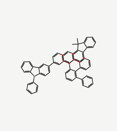 CC1(C)c2ccccc2-c2ccc(N(c3cccc(-c4ccc5c(c4)c4ccccc4n5-c4ccccc4)c3)c3cccc(-c4ccccc4)c3-c3ccccc3-c3ccccc3)cc21